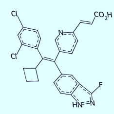 O=C(O)C=Cc1ccc(C(=C(c2ccc(Cl)cc2Cl)C2CCC2)c2ccc3[nH]nc(F)c3c2)cn1